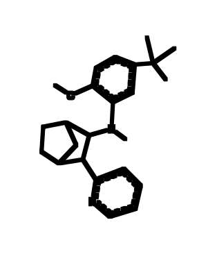 COc1ccc(C(C)(C)C)cc1N(C)C1C2CCC(C2)C1c1ccccn1